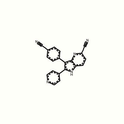 N#Cc1ccc(-c2c(-c3ccncc3)[nH]c3ccc(C#N)nc23)cc1